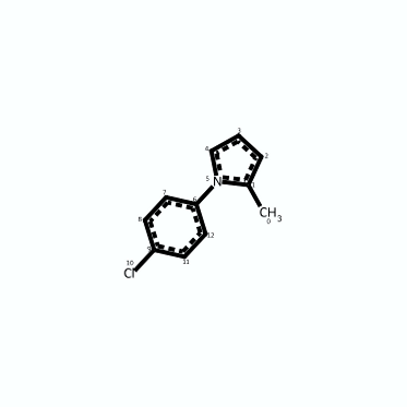 Cc1cccn1-c1ccc(Cl)cc1